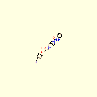 N#Cc1ccc(OC[C@@H](O)CN2CC3CC(C2)CN(C(=O)Nc2ccccc2)C3)cc1